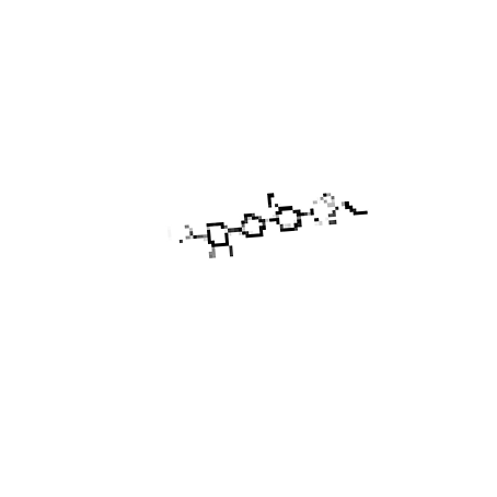 BCc1ccc(-c2ccc(-c3ccc(C4COC(/C=C/C)OC4)cc3F)cc2)c(F)c1F